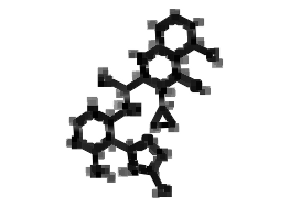 CCc1noc(-c2c(N)ncnc2NC(CC)c2nc3cccc(Cl)c3c(=O)n2C2CC2)n1